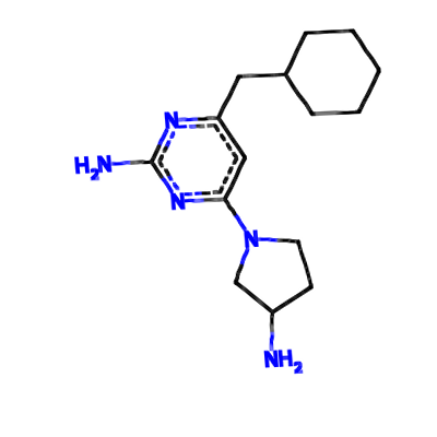 Nc1nc(CC2CCCCC2)cc(N2CCC(N)C2)n1